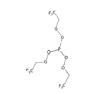 FC(F)(F)COOP(OOCC(F)(F)F)OOCC(F)(F)F